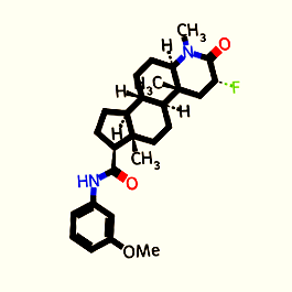 COc1cccc(NC(=O)[C@H]2CC[C@H]3[C@@H]4CC[C@H]5N(C)C(=O)[C@H](F)C[C@]5(C)[C@H]4CC[C@]23C)c1